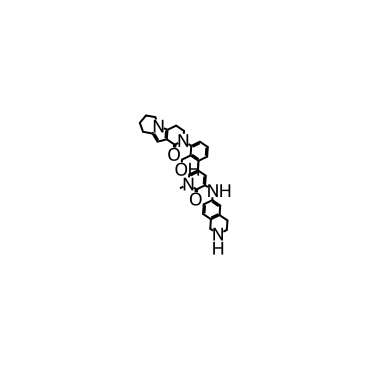 Cn1cc(-c2cccc(N3CCc4c(cc5n4CCCC5)C3=O)c2CO)cc(Nc2ccc3c(c2)CCNC3)c1=O